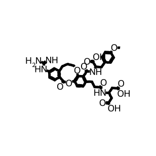 COc1ccc(CC(NC(=O)c2c(CCC(=O)NC(CC(=O)O)CC(=O)O)ccc3c2OCCCc2cc(NC(=N)N)ccc2C(=O)O3)C(=O)O)cc1